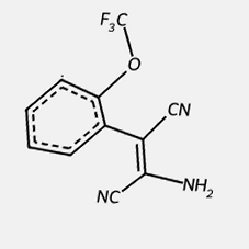 N#C/C(N)=C(/C#N)c1ccc[c]c1OC(F)(F)F